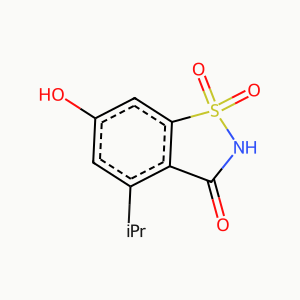 CC(C)c1cc(O)cc2c1C(=O)NS2(=O)=O